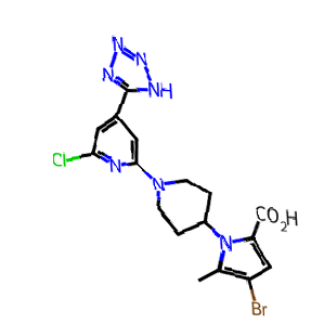 Cc1c(Br)cc(C(=O)O)n1C1CCN(c2cc(-c3nnn[nH]3)cc(Cl)n2)CC1